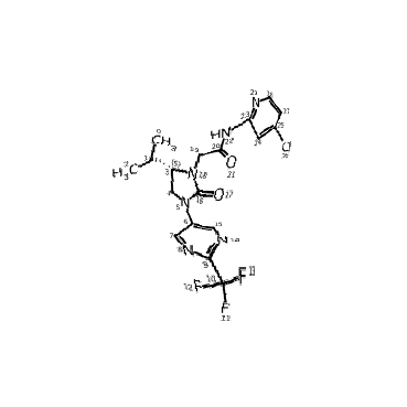 CC(C)[C@H]1CN(c2cnc(C(F)(F)F)nc2)C(=O)N1CC(=O)Nc1cc(Cl)ccn1